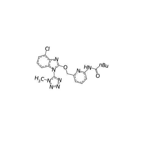 CCCCC(=O)Nc1cccc(COc2nc3c(Cl)cccc3n2-c2nnnn2C)n1